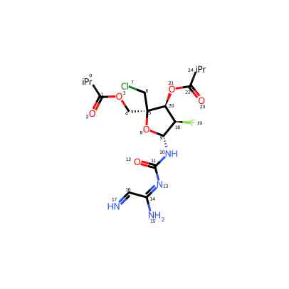 CC(C)C(=O)OC[C@@]1(CCl)O[C@@H](NC(=O)/N=C(/N)C=N)[C@H](F)[C@@H]1OC(=O)C(C)C